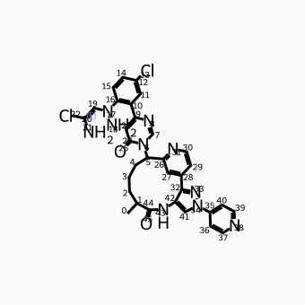 CC1CCCC(n2cnc(-c3cc(Cl)ccc3N(N)/C=C(\N)Cl)cc2=O)c2cc(ccn2)-c2nn(-c3ccncc3)cc2NC1=O